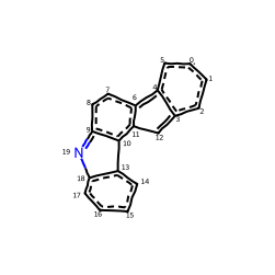 [c]1ccc2c(c1)=c1ccc3c(c1C=2)-c1ccccc1N=3